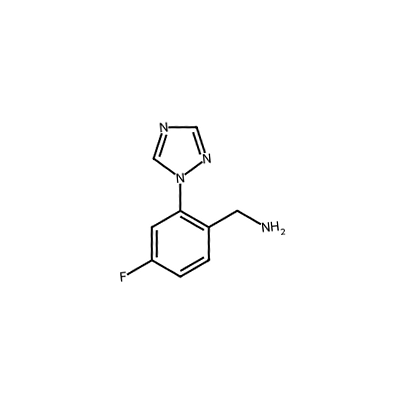 NCc1ccc(F)cc1-n1cncn1